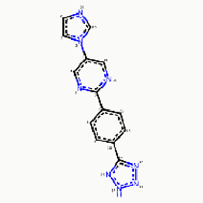 c1cn(-c2cnc(-c3ccc(-c4nn[nH]n4)cc3)nc2)cn1